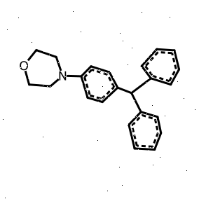 c1ccc(C(c2ccccc2)c2ccc(N3CCOCC3)cc2)cc1